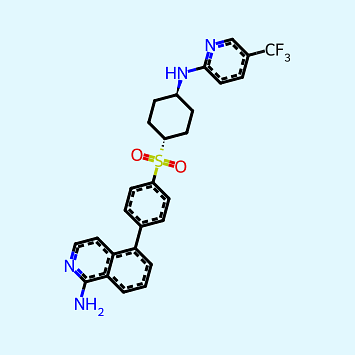 Nc1nccc2c(-c3ccc(S(=O)(=O)[C@H]4CC[C@H](Nc5ccc(C(F)(F)F)cn5)CC4)cc3)cccc12